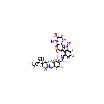 CC(C)C1CCN(Cc2ccc(CNc3cccc4c3C(=O)N(C3CCC(=O)NC3=O)C4=O)cc2F)CC1